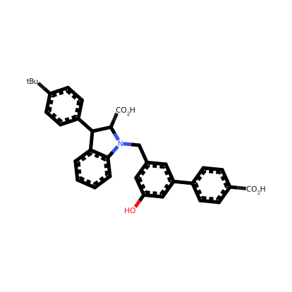 CC(C)(C)c1ccc(C2c3ccccc3N(Cc3cc(O)cc(-c4ccc(C(=O)O)cc4)c3)C2C(=O)O)cc1